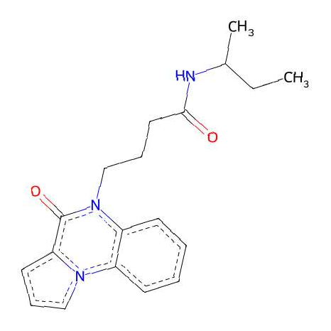 CCC(C)NC(=O)CCCn1c(=O)c2cccn2c2ccccc21